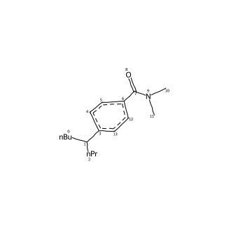 CCCCC(CCC)c1ccc(C(=O)N(C)C)cc1